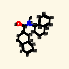 CN(C(=O)C1CCc2ccccc2C1)C1CCCc2ccccc21